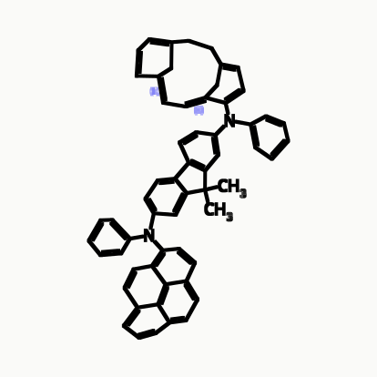 CC1(C)c2cc(N(C3=CC=C4CCC5=CC=C/C(=C/C=C/3C4)C5)c3ccccc3)ccc2-c2ccc(N(c3ccccc3)c3ccc4ccc5cccc6ccc3c4c56)cc21